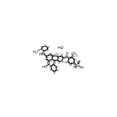 Cc1ccccc1Nc1ccc2c(-c3ccccc3C(=O)O)c3ccc(Nc4ccc(S(=O)(=O)O)cc4C)cc3[o+]c2c1.[OH-]